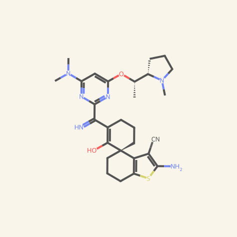 C[C@H](Oc1cc(N(C)C)nc(C(=N)C2=C(O)[C@@]3(CCC2)CCCc2sc(N)c(C#N)c23)n1)[C@@H]1CCCN1C